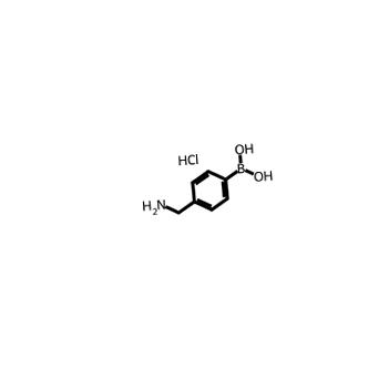 Cl.NCc1ccc(B(O)O)cc1